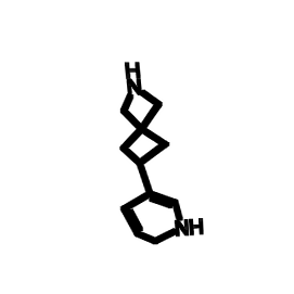 C1=CC(C2CC3(CNC3)C2)=CNC1